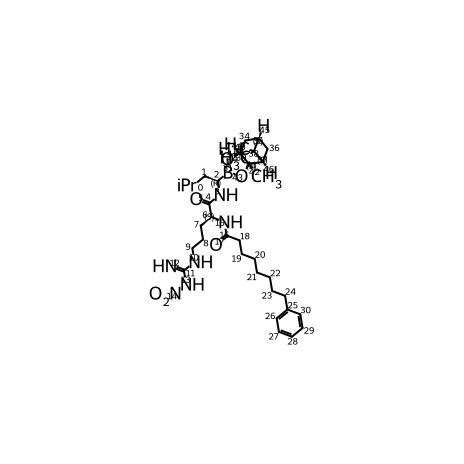 CC(C)C[C@H](NC(=O)[C@H](CCCNC(=N)N[N+](=O)[O-])NC(=O)CCCCCCCc1ccccc1)B1O[C@@H]2C[C@@H]3C[C@@H](C3(C)C)[C@]2(C)O1